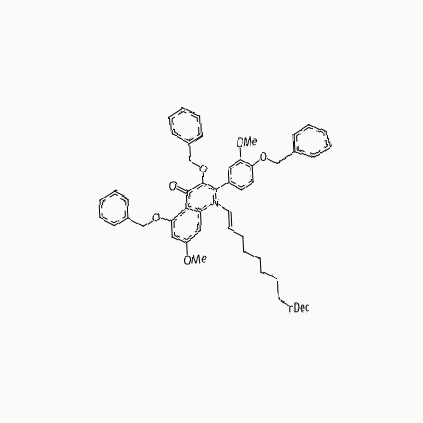 CCCCCCCCCCCCCCCCC=Cn1c(-c2ccc(OCc3ccccc3)c(OC)c2)c(OCc2ccccc2)c(=O)c2c(OCc3ccccc3)cc(OC)cc21